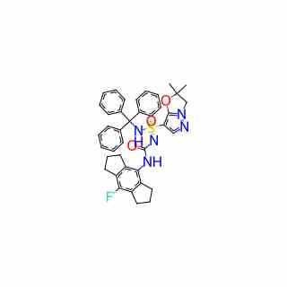 CC1(C)Cn2ncc(S(=O)(=NC(=O)Nc3c4c(c(F)c5c3CCC5)CCC4)NC(c3ccccc3)(c3ccccc3)c3ccccc3)c2O1